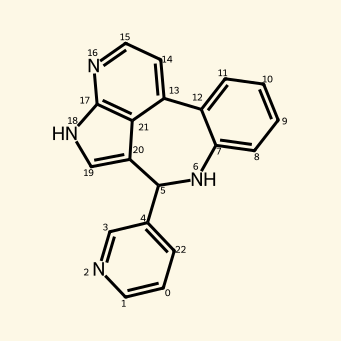 c1cncc(C2Nc3ccccc3-c3ccnc4[nH]cc2c34)c1